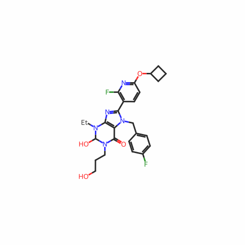 CCN1c2nc(-c3ccc(OC4CCC4)nc3F)n(Cc3ccc(F)cc3)c2C(=O)N(CCCO)C1O